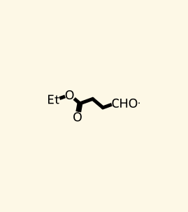 CCOC(=O)CC[C]=O